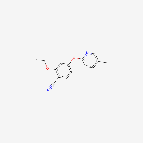 CCOc1cc(Oc2ccc(C)cn2)ccc1C#N